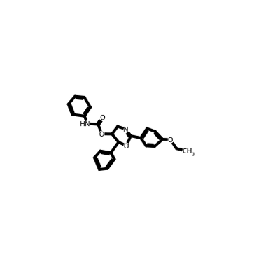 CCOc1ccc(C2=NCC(OC(=O)Nc3ccccc3)C(c3ccccc3)O2)cc1